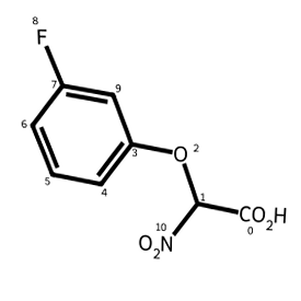 O=C(O)C(Oc1cccc(F)c1)[N+](=O)[O-]